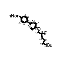 CCCCCCCCCc1ccc(-c2ncc(OCC(F)CCCC(C)CC)cn2)cc1